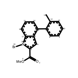 COC(=O)c1cc2c(-c3ccccc3C)cccc2n1Br